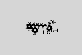 OC[C@H]1CC(O)[C@@H](O)CN1CCCCCCCc1ccccc1-c1ccccc1